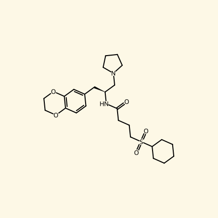 O=C(CCCS(=O)(=O)C1CCCCC1)N[C@@H](Cc1ccc2c(c1)OCCO2)CN1CCCC1